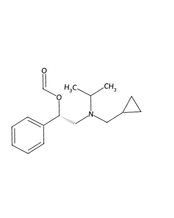 CC(C)N(CC1CC1)C[C@@H](OC=O)c1ccccc1